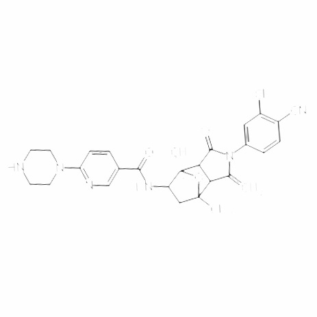 C=C1C2C(C(=O)N1c1ccc(C#N)c(Cl)c1)[C@@]1(C)OC2(C)CC1NC(=O)c1ccc(N2CCNCC2)nc1